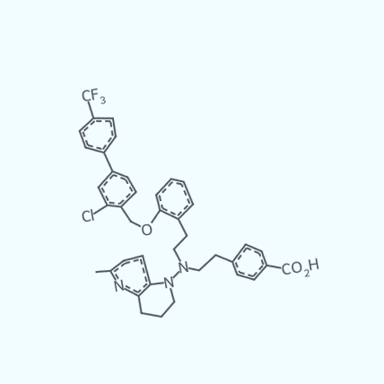 Cc1ccc2c(n1)CCCN2N(CCc1ccc(C(=O)O)cc1)CCc1ccccc1OCc1ccc(-c2ccc(C(F)(F)F)cc2)cc1Cl